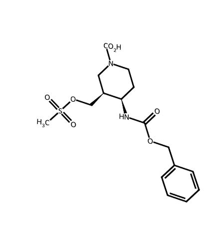 CS(=O)(=O)OC[C@H]1CN(C(=O)O)CC[C@H]1NC(=O)OCc1ccccc1